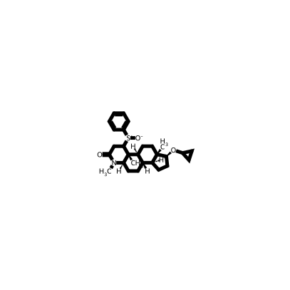 CN1C(=O)CC([S+]([O-])c2ccccc2)[C@]2(C)[C@H]3CC[C@]4(C)[C@@H](OC5CC5)CC[C@H]4[C@@H]3CC[C@@H]12